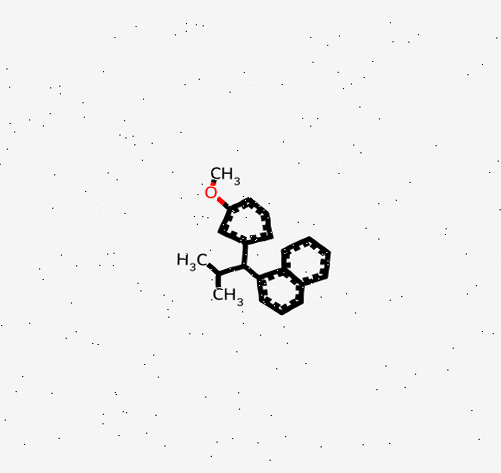 COc1cccc(C(c2cccc3ccccc23)C(C)C)c1